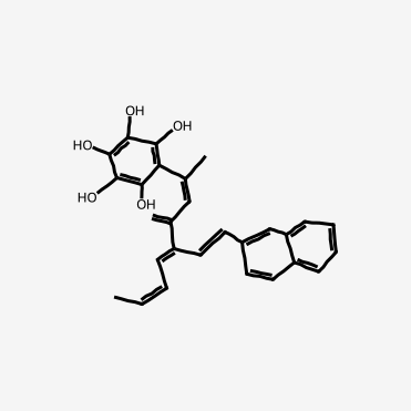 C=C(/C=C(/C)c1c(O)c(O)c(O)c(O)c1O)C(/C=C/c1ccc2ccccc2c1)=C/C=C\C